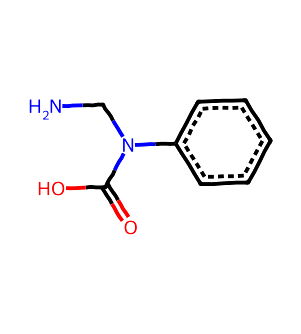 NCN(C(=O)O)c1ccccc1